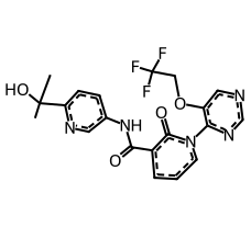 CC(C)(O)c1ccc(NC(=O)c2cccn(-c3ncncc3OCC(F)(F)F)c2=O)cn1